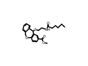 CCCCCC(=O)NCCSC1c2ccccc2COc2ccc(C(=O)OC)cc21